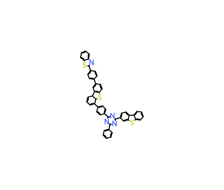 C1=CC2c3cc(-c4ccc(-c5nc6ccccc6s5)cc4)ccc3SC2C(c2ccc(-c3nc(-c4ccccc4)nc(-c4ccc5c(c4)sc4ccccc45)n3)cc2)=C1